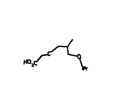 CC(CCCC(=O)O)COC(C)C